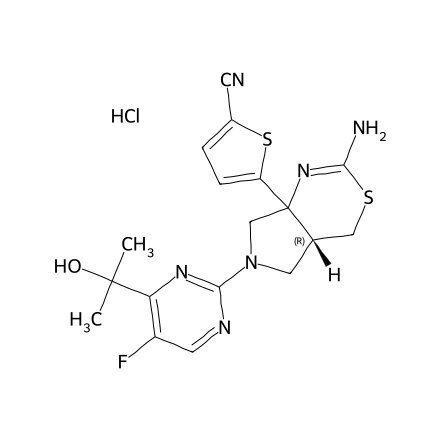 CC(C)(O)c1nc(N2C[C@H]3CSC(N)=NC3(c3ccc(C#N)s3)C2)ncc1F.Cl